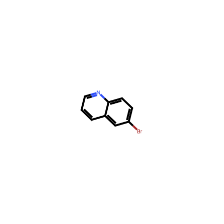 Brc1ccc2ncc[c]c2c1